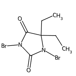 CCC1(CC)C(=O)N(Br)C(=O)N1Br